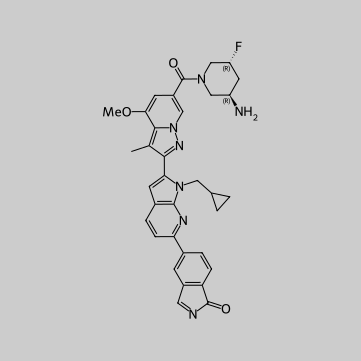 COc1cc(C(=O)N2C[C@H](N)C[C@@H](F)C2)cn2nc(-c3cc4ccc(-c5ccc6c(c5)C=NC6=O)nc4n3CC3CC3)c(C)c12